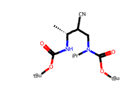 CC(C)N(CC(C#N)[C@@H](C)NC(=O)OC(C)(C)C)C(=O)OC(C)(C)C